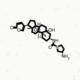 C[C@]12CC[C@H](NC(=O)N3CC[C@H](N)C3)C[C@@]1(O)CC[C@@H]1[C@@H]2CC[C@]2(C)[C@@H](c3ccc(=O)oc3)CC[C@]12O